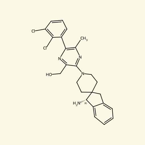 Cc1nc(N2CCC3(CC2)Cc2ccccc2[C@@H]3N)c(CO)nc1-c1cccc(Cl)c1Cl